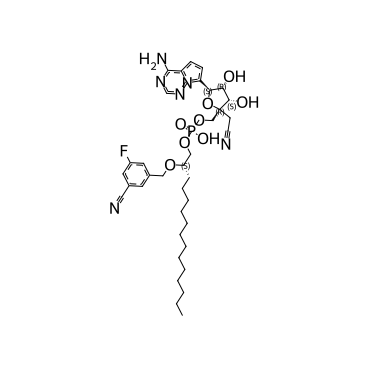 CCCCCCCCCCCCC[C@@H](COP(=O)(O)OC[C@@]1(CC#N)O[C@@H](c2ccc3c(N)ncnn23)[C@H](O)[C@@H]1O)OCc1cc(F)cc(C#N)c1